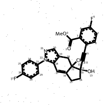 COC(=O)c1cc(F)ccc1C#C[C@]1(O)CCC2=Cc3c(cnn3-c3ccc(F)cc3)CC21C